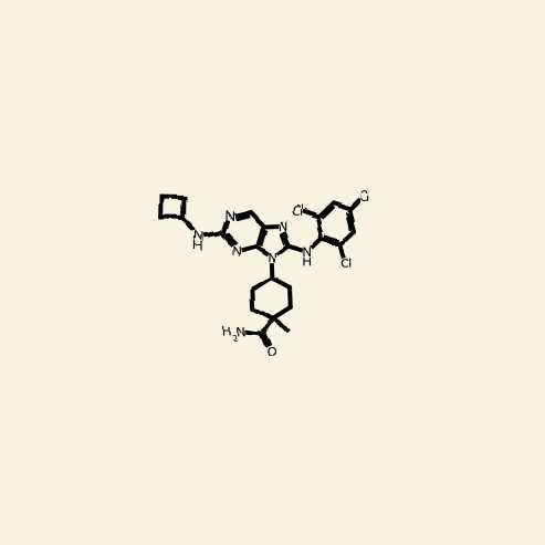 CC1(C(N)=O)CCC(n2c(Nc3c(Cl)cc(Cl)cc3Cl)nc3cnc(NC4CCC4)nc32)CC1